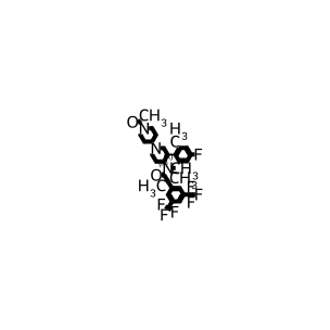 CC(=O)N1CCC(N2CC[C@@H](N(C)C(=O)C(C)(C)c3cc(C(F)(F)F)cc(C(F)(F)F)c3)[C@H](c3ccc(F)cc3C)C2)CC1